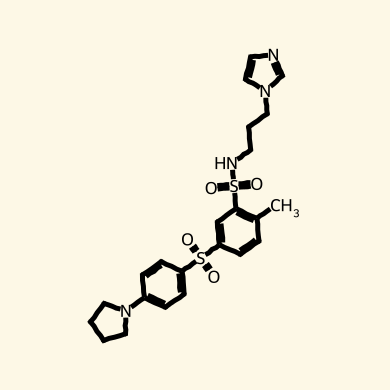 Cc1ccc(S(=O)(=O)c2ccc(N3CCCC3)cc2)cc1S(=O)(=O)NCCCn1ccnc1